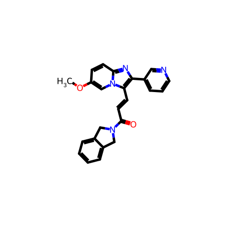 COc1ccc2nc(-c3cccnc3)c(/C=C/C(=O)N3Cc4ccccc4C3)n2c1